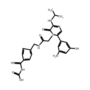 CC(C)Nc1ncc(-c2cc(N)cc(O)c2)n(CC(=O)NCc2ccc(C(=N)NC(=O)O)cc2)c1=O